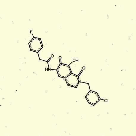 O=C(Cc1ccc(F)cc1)Nc1cn2ccn(Cc3cccc(Cl)c3)c(=O)c2c(O)c1=O